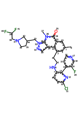 Cc1cc(CCNc2ccc(Cl)nc2-c2ccncc2F)c2c(c1)c(=O)n(C)c1c2cnn1CC1CCN(CC(F)F)C1